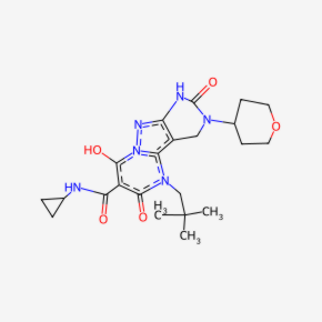 CC(C)(C)Cn1c(=O)c(C(=O)NC2CC2)c(O)n2nc3c(c12)CN(C1CCOCC1)C(=O)N3